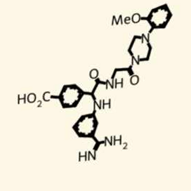 COc1ccccc1N1CCN(C(=O)CNC(=O)C(Nc2cccc(C(=N)N)c2)c2ccc(C(=O)O)cc2)CC1